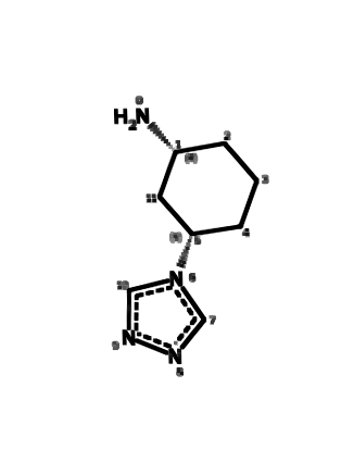 N[C@@H]1CCC[C@H](n2cnnc2)C1